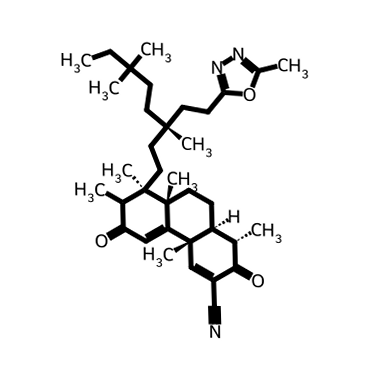 CCC(C)(C)CC[C@](C)(CCc1nnc(C)o1)CC[C@]1(C)C(C)C(=O)C=C2[C@@]3(C)C=C(C#N)C(=O)[C@@H](C)[C@@H]3CC[C@]21C